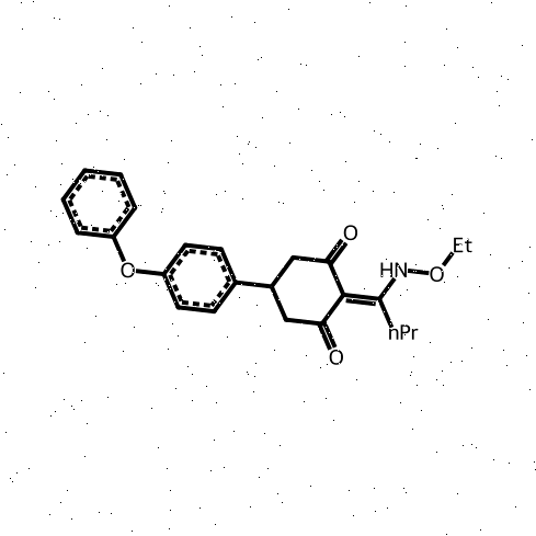 CCCC(NOCC)=C1C(=O)CC(c2ccc(Oc3ccccc3)cc2)CC1=O